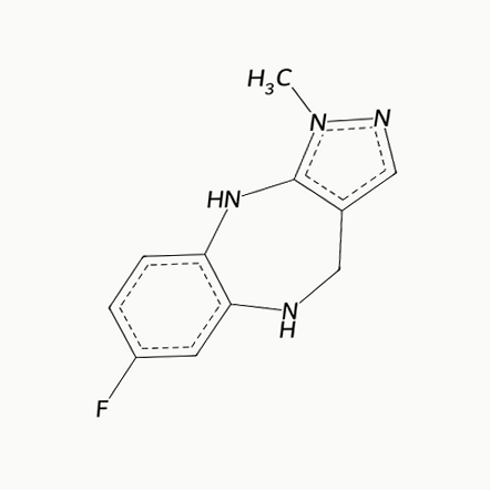 Cn1ncc2c1Nc1ccc(F)cc1NC2